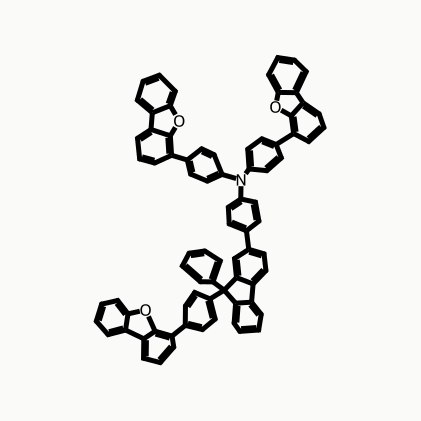 c1ccc(C2(c3ccc(-c4cccc5c4oc4ccccc45)cc3)c3ccccc3-c3ccc(-c4ccc(N(c5ccc(-c6cccc7c6oc6ccccc67)cc5)c5ccc(-c6cccc7c6oc6ccccc67)cc5)cc4)cc32)cc1